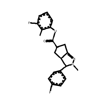 Cc1c(F)cccc1OC(=O)C1CC2=NN(C)C(c3ccc(F)cc3)C2C1